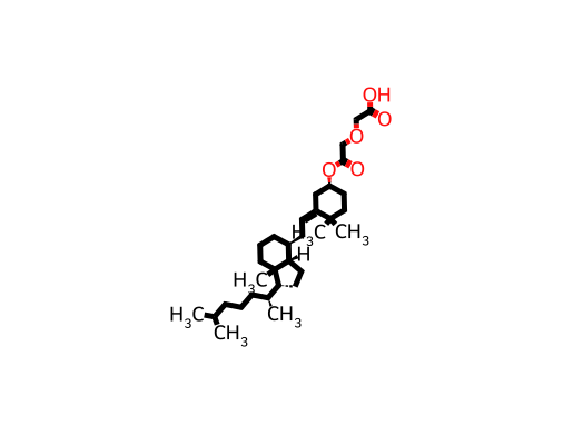 CC(C)CCC[C@@H](C)[C@H]1CC[C@H]2[C@H](C/C=C3/C[C@@H](OC(=O)COCC(=O)O)CCC3(C)C)CCCC12C